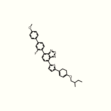 CCC(C)COC1=CC=C(c2ccc(-c3ccc(-c4ccc(-c5ccc(OC)cc5)cc4F)c4nsnc34)s2)CC1